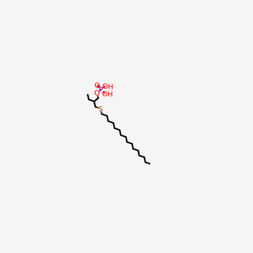 CCCCCCCCCCCCCCCCSCC(CC)COP(=O)(O)O